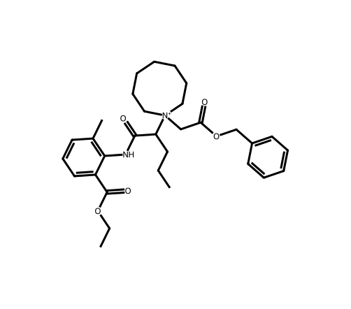 CCCC(C(=O)Nc1c(C)cccc1C(=O)OCC)[N+]1(CC(=O)OCc2ccccc2)CCCCCCC1